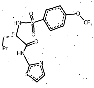 CC(C)C[C@H](NS(=O)(=O)c1ccc(OC(F)(F)F)cc1)C(=O)Nc1nccs1